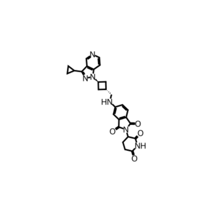 O=C1CCC(N2C(=O)c3ccc(NC[C@H]4C[C@H](n5nc(C6CC6)c6cnccc65)C4)cc3C2=O)C(=O)N1